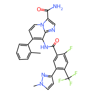 Cc1ccccc1-c1ccn2c(C(N)=O)cnc2c1NC(=O)c1cc(-c2ccn(C)n2)c(C(F)(F)F)cc1F